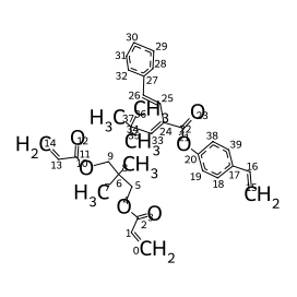 C=CC(=O)OCC(C)(C)COC(=O)C=C.C=Cc1ccc(OC(=O)C(C=Cc2ccccc2)=CC(C)(C)C)cc1